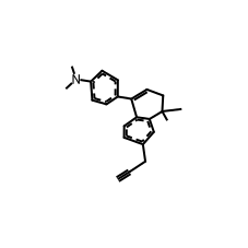 C#CCc1ccc2c(c1)C(C)(C)CC=C2c1ccc(N(C)C)cc1